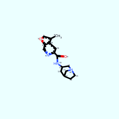 Cc1coc2cnc(C(=O)NC3CC4CCN(C4)C3)cc12